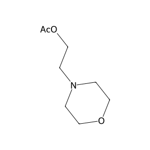 CC(=O)OCCN1CCOCC1